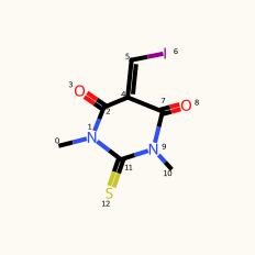 CN1C(=O)C(=CI)C(=O)N(C)C1=S